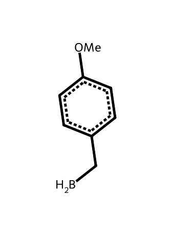 BCc1ccc(OC)cc1